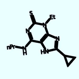 CCCNc1nc(=S)n(CC)c2nc(C3CC3)[nH]c12